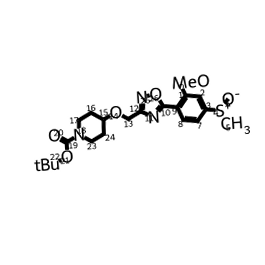 COc1cc([S+](C)[O-])ccc1-c1nc(COC2CCN(C(=O)OC(C)(C)C)CC2)no1